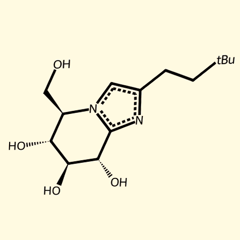 CC(C)(C)CCc1cn2c(n1)[C@H](O)[C@@H](O)[C@H](O)[C@H]2CO